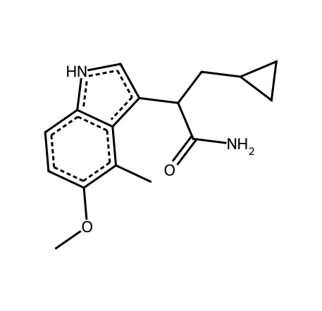 COc1ccc2[nH]cc(C(CC3CC3)C(N)=O)c2c1C